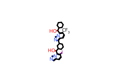 OC(c1c(I)ccc2cncn12)C1CCCC(c2ncn3c(C(O)C4CCCCC4)c(C(F)(F)F)ccc23)C1